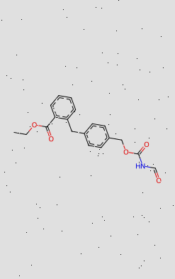 CCOC(=O)c1ccccc1Cc1ccc(COC(=O)NC=O)cc1